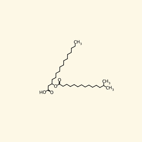 CCCCCCCCCCCCCC(CC(=O)O)OC(=O)CCCCCCCCCCCC(C)C